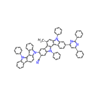 Cc1cc2c(c3ccc(-c4cc(-c5ccccc5)nc(-c5ccccc5)n4)cc3n2-c2ccccc2)c2c1c1cc(-n3c4ccccc4c4c3ccc3c5ccccc5n(-c5ccccc5)c34)c(C#N)cc1n2-c1ccccc1